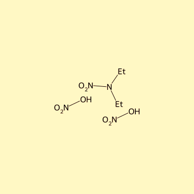 CCN(CC)[N+](=O)[O-].O=[N+]([O-])O.O=[N+]([O-])O